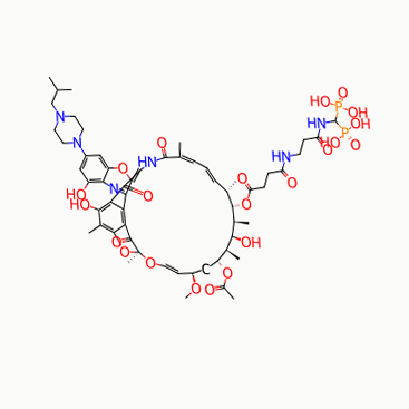 CO[C@H]1/C=C/O[C@@]2(C)Oc3c(C)c(O)c4c(=O)c(c5oc6cc(N7CCN(CC(C)C)CC7)cc(O)c6nc-5c4c3C2=O)NC(=O)/C(C)=C\C=C\[C@H](C)[C@H](OC(=O)CCC(=O)NCCC(=O)NC(P(=O)(O)O)P(=O)(O)O)[C@@H](C)[C@@H](O)[C@@H](C)[C@H](OC(C)=O)C1